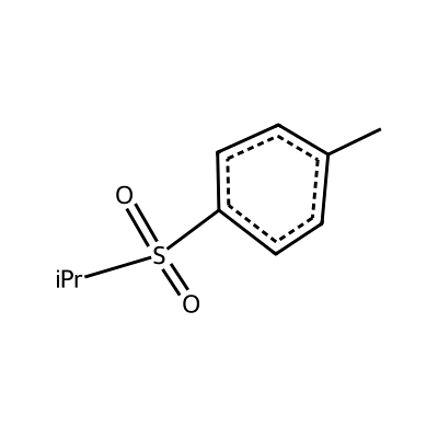 Cc1ccc(S(=O)(=O)C(C)C)cc1